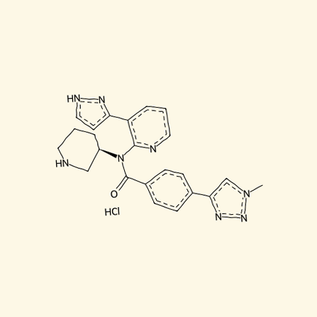 Cl.Cn1cc(-c2ccc(C(=O)N(c3ncccc3-c3cc[nH]n3)[C@@H]3CCCNC3)cc2)nn1